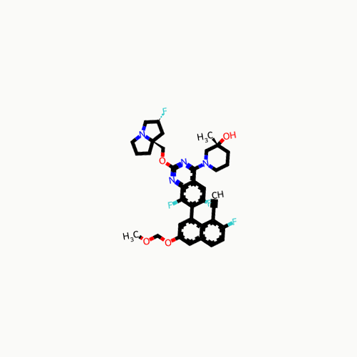 C#Cc1c(F)ccc2cc(OCOC)cc(-c3c(F)cc4c(N5CCC[C@@](C)(O)C5)nc(OC[C@@]56CCCN5C[C@H](F)C6)nc4c3F)c12